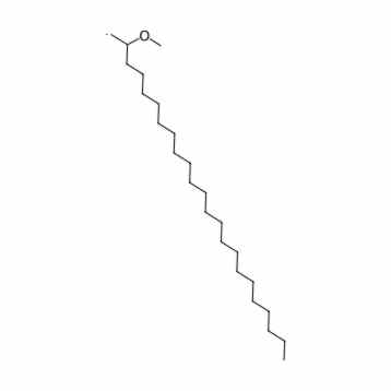 [CH2]C(CCCCCCCCCCCCCCCCCCCCC)OC